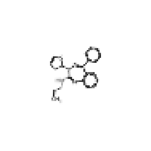 C=CCNC1=Nc2ccccc2C(c2ccccc2)=NC1C1CC=CS1